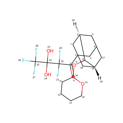 O=C(C12CC3C[C@H](C1)C(OC1CCCCO1)[C@H](C3)C2)C(F)(F)C(O)(O)C(F)(F)F